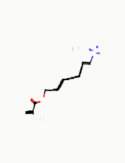 C=C(C)C(=O)OCCCCCC[N+](C)(C)C.[I-]